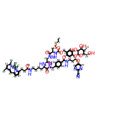 CCSSCC(NC(=O)OCc1ccc(OC2O[C@H](CO)[C@H](C)[C@H](O)C2O)cc1)C(=O)NCC(=O)NC(CCCCNC(=O)CCc1ccc2n1[B-](F)(F)[N+]1=C(C)C=C(C)C1=C2)C(=O)NCc1ccc(C(=O)NCCCOc2cnc(C#N)nc2)cc1